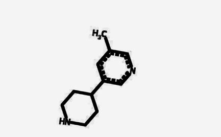 Cc1cncc(C2CCNCC2)c1